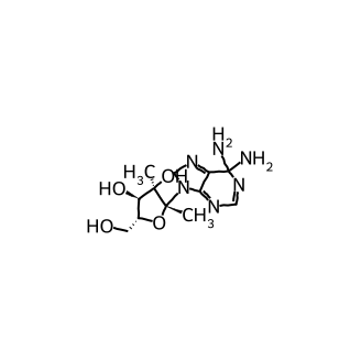 C[C@@]1(N2CN=C3C2=NC=NC3(N)N)O[C@H](CO)[C@@H](O)[C@@]1(C)O